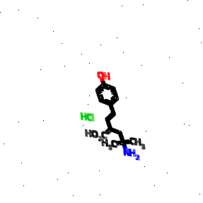 CC(C)(N)CC(CCc1ccc(O)cc1)C(=O)O.Cl